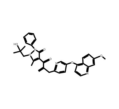 C=C(Cc1ccc(Oc2ccnc3cc(OC)ccc23)cn1)C(=O)c1c(C)n(CC(C)(C)O)n(-c2ccccc2)c1=O